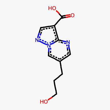 O=C(O)c1cnn2cc(CCCO)cnc12